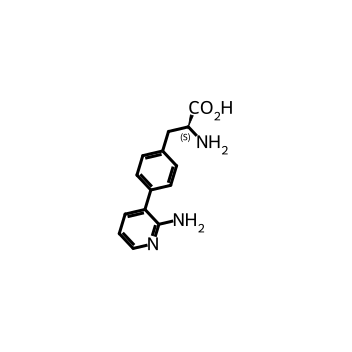 Nc1ncccc1-c1ccc(C[C@H](N)C(=O)O)cc1